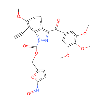 C#Cc1c(OC)ccc2c(C(=O)c3cc(OC)c(OC)c(OC)c3)nn(C(=O)OCc3ccc(N=O)o3)c12